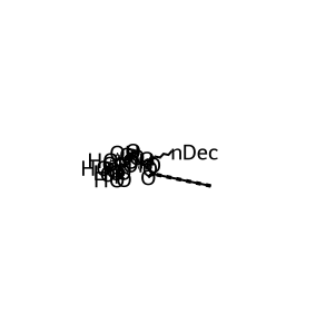 C#CC#CC#CC#CC#CC#CC(=O)OC[C@H](COP(=O)(O)OC1C(O)[C@@H](OP(=O)(O)O)C(OP(=O)(O)O)[C@@H](O)[C@H]1O)OC(=O)CCCCCCCCCCCCCCC